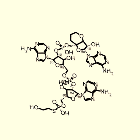 COC1[C@@H](COP(=O)(O)SCCO)O[C@@H](n2cnc3c(N)ncnc32)[C@H]1OP(=O)(O)OC[C@H]1O[C@@H](n2cnc3c(N)ncnc32)[C@@H](OP(=O)(O)OC[C@]23CCCOC2[C@H](O)[C@H](n2cnc4c(N)ncnc42)O3)C1O